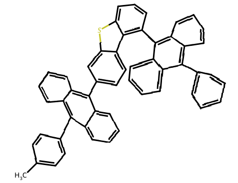 Cc1ccc(-c2c3ccccc3c(-c3ccc4c(c3)sc3cccc(-c5c6ccccc6c(-c6ccccc6)c6ccccc56)c34)c3ccccc23)cc1